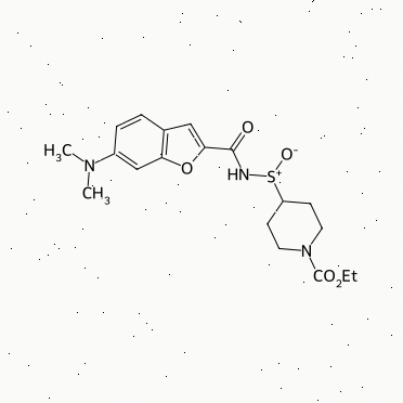 CCOC(=O)N1CCC([S+]([O-])NC(=O)c2cc3ccc(N(C)C)cc3o2)CC1